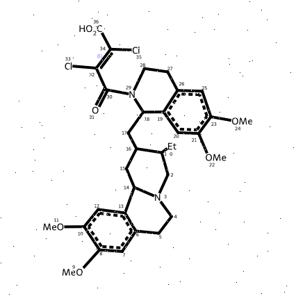 CCC1CN2CCc3cc(OC)c(OC)cc3C2CC1CC1c2cc(OC)c(OC)cc2CCN1C(=O)/C(Cl)=C(\Cl)C(=O)O